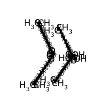 CC(C)CCCCCCCCCCCCCCCC(CCCCCCCCCCCCCCCC(C)C)(C(=O)O)C(O)C(=O)O.CC(C)CCCCCCCCCCCCCCCOC(=O)/C=C\C(=O)OCCCCCCCCCCCCCCCC(C)C